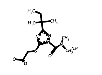 CCC(C)(C)c1nc(SCC(=O)[O-])n(C(=O)N(C)C)n1.[Na+]